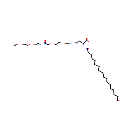 CCOCCOCCNC(=O)COCCOCCNCCC(NC(=O)CCCCCCCCCCCCCCCCC(=O)O)C(=O)O